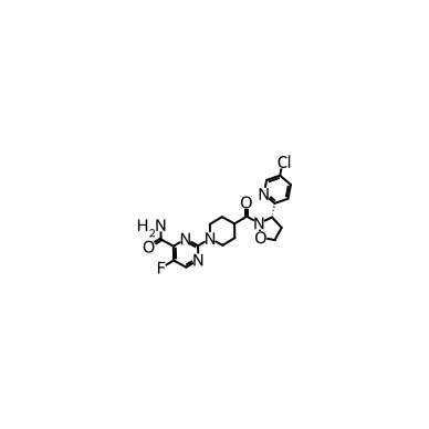 NC(=O)c1nc(N2CCC(C(=O)N3OCC[C@H]3c3ccc(Cl)cn3)CC2)ncc1F